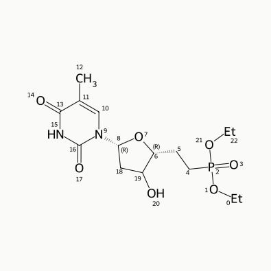 CCOP(=O)(CC[C@H]1O[C@@H](n2cc(C)c(=O)[nH]c2=O)CC1O)OCC